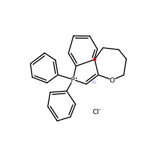 C(=C1/CCCCCO1)/[P+](c1ccccc1)(c1ccccc1)c1ccccc1.[Cl-]